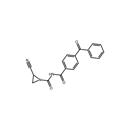 N#CC1CN1C(=O)NC(=O)c1ccc(C(=O)c2ccccc2)cc1